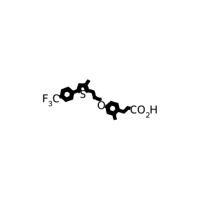 Cc1cc(OCCCc2sc(-c3ccc(C(F)(F)F)cc3)cc2C)ccc1CCC(=O)O